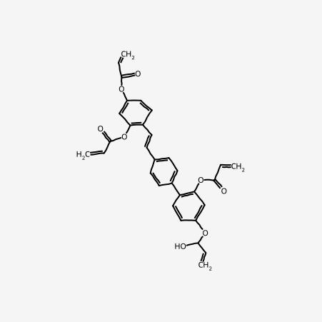 C=CC(=O)Oc1ccc(/C=C/c2ccc(-c3ccc(OC(O)C=C)cc3OC(=O)C=C)cc2)c(OC(=O)C=C)c1